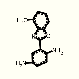 Cc1cccc2oc(-c3cc(N)ccc3N)nc12